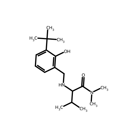 CC(C)C(NCc1cccc(C(C)(C)C)c1O)C(=O)N(C)C